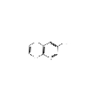 CC(C)(C)c1cnc2c(c1)OC=CO2